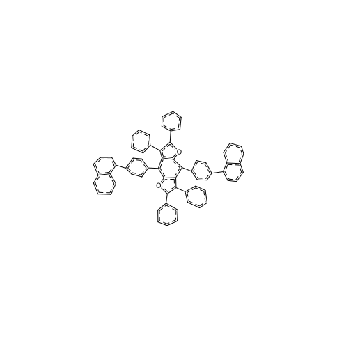 c1ccc(-c2oc3c(-c4ccc(-c5cccc6ccccc56)cc4)c4c(-c5ccccc5)c(-c5ccccc5)oc4c(-c4ccc(-c5cccc6ccccc56)cc4)c3c2-c2ccccc2)cc1